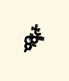 CC[C@@]12CC[C@](O)(C(C)CC(F)(F)F)C[C@@H]1CCCc1cc(C)ccc12